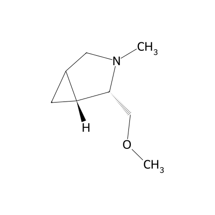 COC[C@@H]1[C@@H]2CC2CN1C